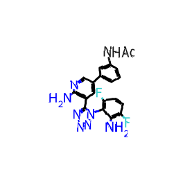 CC(=O)Nc1cccc(-c2cnc(N)c(-c3nnnn3-c3c(F)ccc(F)c3N)c2)c1